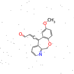 COc1ccc2c(c1)C(=C=CC=O)c1cccnc1CO2